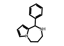 c1ccc(C2NCCCn3cccc32)cc1